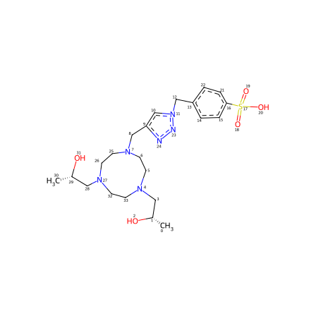 C[C@H](O)CN1CCN(Cc2cn(Cc3ccc(S(=O)(=O)O)cc3)nn2)CCN(C[C@H](C)O)CC1